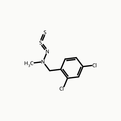 CN(Cc1ccc(Cl)cc1Cl)N=S=S